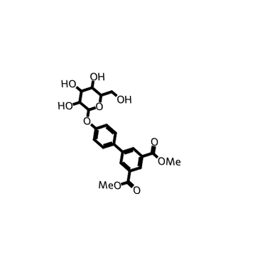 COC(=O)c1cc(C(=O)OC)cc(-c2ccc(OC3OC(CO)C(O)C(O)C3O)cc2)c1